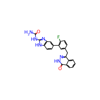 NC(=O)Nc1nc2cc(-c3cc(Cc4n[nH]c(=O)c5ccccc45)ccc3F)ccc2[nH]1